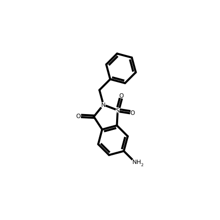 Nc1ccc2c(c1)S(=O)(=O)N(Cc1ccccc1)C2=O